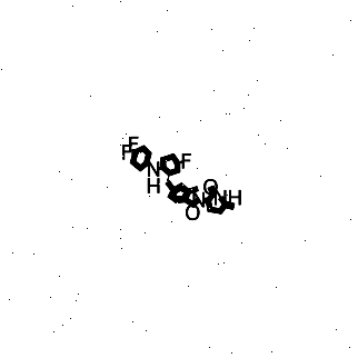 C=C1CCC(N2Cc3cc(C[C@H]4C[C@H](F)CC[C@@H]4NC4CCC(F)(F)CC4)ccc3C2=O)C(=O)N1